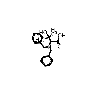 CC(C)(O)C(C(=O)O)N(Cc1ccccc1)Cc1ccccc1